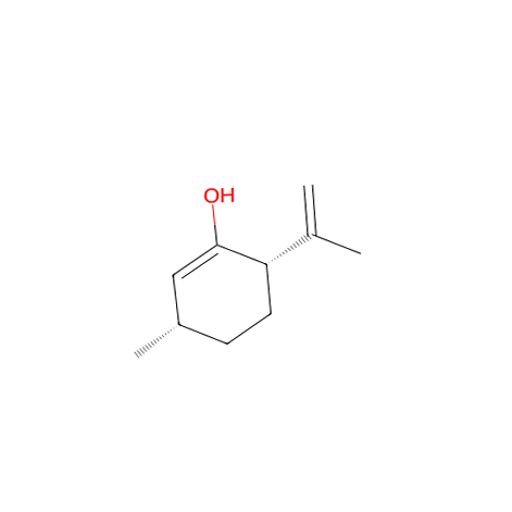 C=C(C)[C@@H]1CC[C@H](C)C=C1O